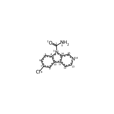 NC(=O)n1c2[c]cc(Cl)cc2c2ccncc21